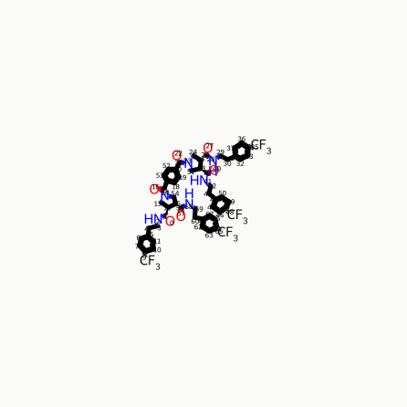 O=C(NCCc1ccc(C(F)(F)F)cc1)[C@H]1CN(C(=O)c2ccc(C(=O)N3C[C@H](C(=O)NCCc4ccc(C(F)(F)F)cc4)[C@@H](C(=O)NCCc4ccc(C(F)(F)F)cc4)C3)cc2)C[C@@H]1C(=O)NCCc1ccc(C(F)(F)F)cc1